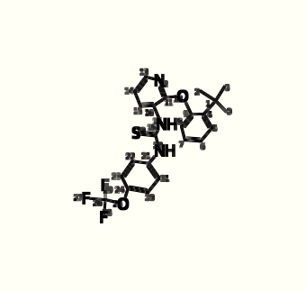 CC(C)(C)c1ccccc1Oc1ncccc1NC(=S)Nc1ccc(OC(F)(F)F)cc1